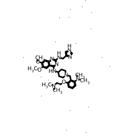 COc1cc2nc(NCc3c[nH]cn3)nc(NC3CCN(Cc4c(OCCN(C)C)cccc4N(C)C)CC3)c2cc1OC